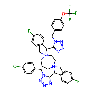 CC[N+]1(C(c2ccc(F)cc2)c2nnnn2Cc2ccc(Cl)cc2)CCC[N+](CC)(C(c2ccc(F)cc2)c2nnnn2Cc2ccc(OC(F)(F)F)cc2)CC1